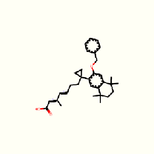 CC(/C=C/CCC1(c2cc3c(cc2OCc2ccccc2)C(C)(C)CCC3(C)C)CC1)=C\C(=O)O